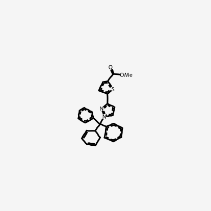 COC(=O)c1ccc(-c2ccn(C(c3ccccc3)(c3ccccc3)C3C=CC=CC3)n2)s1